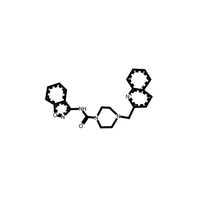 O=C(Nc1noc2ccccc12)N1CCN(Cc2ccc3ccccc3n2)CC1